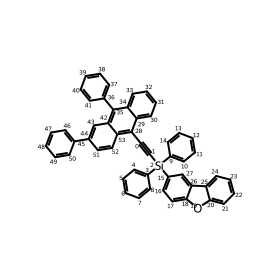 C(#C[Si](c1ccccc1)(c1ccccc1)c1ccc2oc3ccccc3c2c1)c1c2ccccc2c(-c2ccccc2)c2cc(-c3ccccc3)ccc12